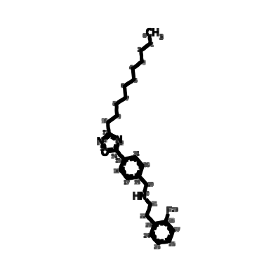 CCCCCCCCCCCc1noc(-c2ccc(CNCCc3ccccc3F)cc2)n1